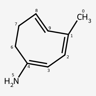 CC1=C/C=C(/N)CC\C=C\1